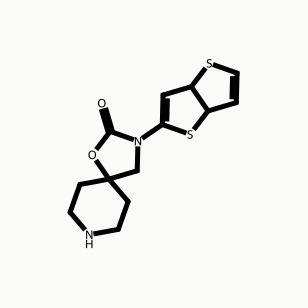 O=C1OC2(CCNCC2)CN1C1=CC2SC=CC2S1